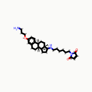 C[C@]12CC[C@@H]3c4ccc(OCCCN)cc4CC[C@H]3[C@@H]1CCC2NCCCCCCN1C(=O)C=CC1=O